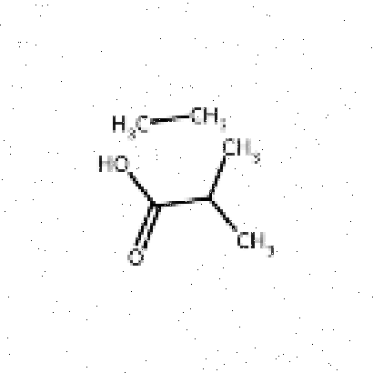 CC.CC(C)C(=O)O